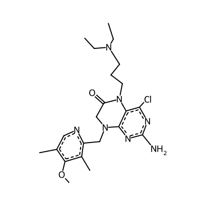 CCN(CC)CCCN1C(=O)CN(Cc2ncc(C)c(OC)c2C)c2nc(N)nc(Cl)c21